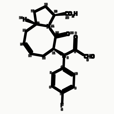 O=CC(=O)N(c1ccc(F)cc1)[C@H]1C/C=C\C[C@@H]2CC[C@@H](C(=O)O)N2C1=O